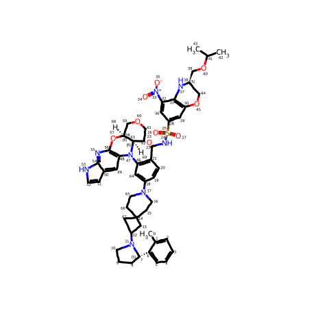 Cc1ccccc1[C@@H]1CCCN1C1CC2(CCN(c3ccc(C(=O)NS(=O)(=O)c4cc5c(c([N+](=O)[O-])c4)N[C@@H](COC(C)C)CO5)c(N4c5cc6cc[nH]c6nc5O[C@H]5COCC[C@H]54)c3)CC2)C1